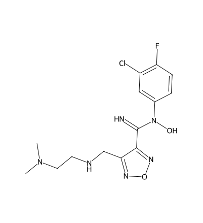 CN(C)CCNCc1nonc1C(=N)N(O)c1ccc(F)c(Cl)c1